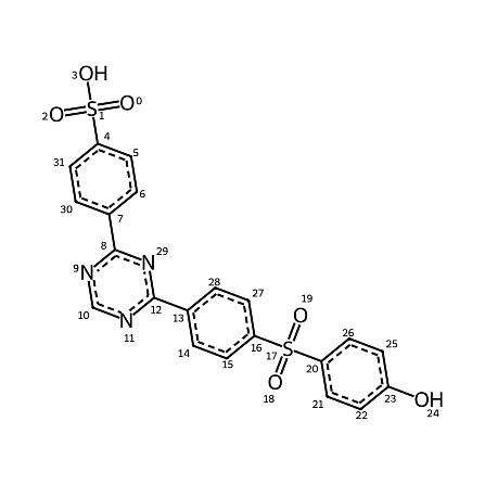 O=S(=O)(O)c1ccc(-c2ncnc(-c3ccc(S(=O)(=O)c4ccc(O)cc4)cc3)n2)cc1